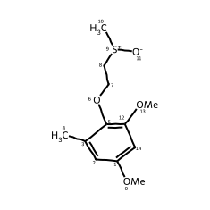 COc1cc(C)c(OCC[S+](C)[O-])c(OC)c1